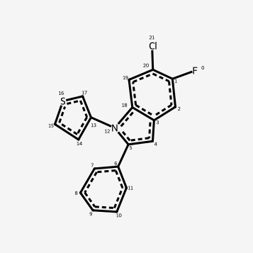 Fc1cc2cc(-c3ccccc3)n(-c3ccsc3)c2cc1Cl